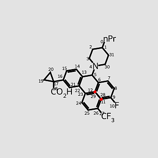 CCCC1CCN(C(c2ccc(F)cc2)c2ccc(C3(C(=O)O)CC3)cc2-c2ccc(C(F)(F)F)cc2)CC1